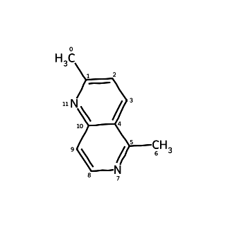 Cc1ccc2c(C)nccc2n1